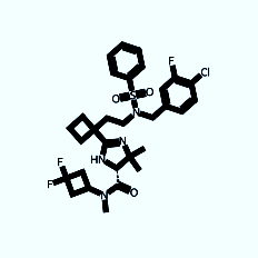 CN(C(=O)[C@@H]1NC(C2(CCN(Cc3ccc(Cl)c(F)c3)S(=O)(=O)c3ccccc3)CCC2)=NC1(C)C)C1CC(F)(F)C1